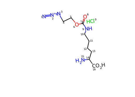 Cl.[N-]=[N+]=NCCOC(=O)NCCCCC(N)C(=O)O